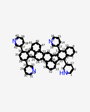 C1=CNCC(c2c3ccccc3c(-c3cccnc3)c3c4cc5c(cc6c7c(-c8cccnc8)ccc(-c8cccnc8)c7c7cccc5c76)c5cccc(c23)c54)=C1